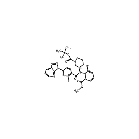 COC(=O)c1ccc[n+]([O-])c1N(C(=O)c1ccc(-n2nnc3cccnc32)cc1F)[C@@H]1CCCN(C(=O)OC(C)(C)C)C1